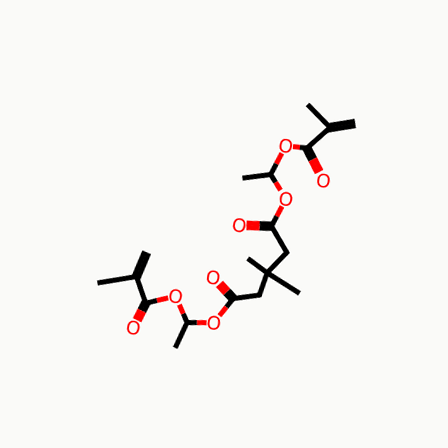 C=C(C)C(=O)OC(C)OC(=O)CC(C)(C)CC(=O)OC(C)OC(=O)C(=C)C